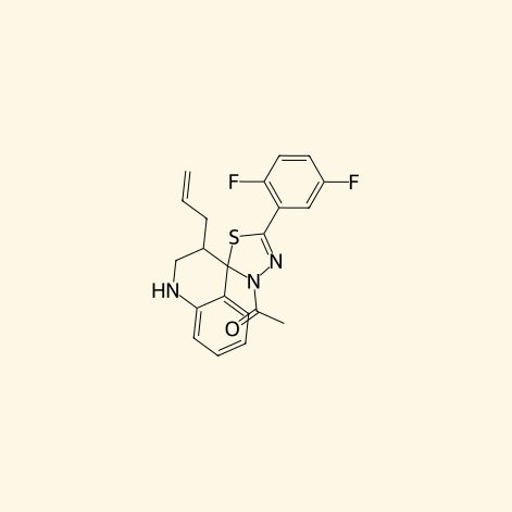 C=CCC1CNc2ccccc2C12SC(c1cc(F)ccc1F)=NN2C(C)=O